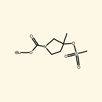 CC(C)(C)OC(=O)N1CCC(C)(OS(C)(=O)=O)C1